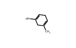 [CH2]CCC1=CCC=C(C)C1